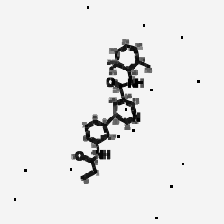 C=CC(=O)Nc1cccc(-c2cncc(C(=O)Nc3c(C)cccc3C)c2)c1